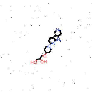 Cn1c2ccncc2c2ccc(N3CCC(OCC(O)CO)CC3)nc21